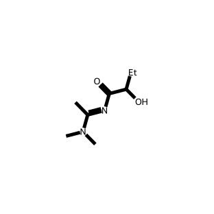 CCC(O)C(=O)/N=C(\C)N(C)C